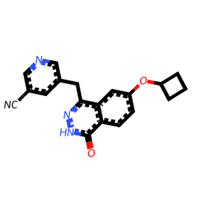 N#Cc1cncc(Cc2n[nH]c(=O)c3ccc(OC4CCC4)cc23)c1